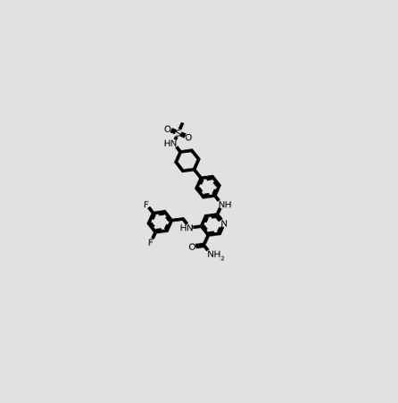 CS(=O)(=O)NC1CCC(c2ccc(Nc3cc(NCc4cc(F)cc(F)c4)c(C(N)=O)cn3)cc2)CC1